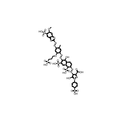 COc1cc2sc(N=Nc3cc(OCCCS(=O)(=O)O)c(N=Nc4c(S(=O)(=O)O)cc5c(S(=O)(=O)O)c(N=Nc6c(C(=O)O)nn(-c7ccc(S(=O)(=O)O)cc7)c6O)ccc5c4O)cc3C)nc2cc1S(=O)(=O)O